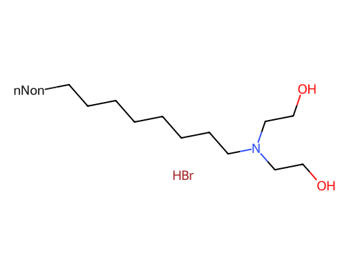 Br.CCCCCCCCCCCCCCCCCN(CCO)CCO